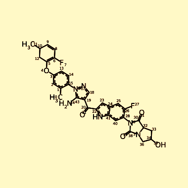 Cc1cc(OC2=C(F)C=CC(C)C2)ccc1-n1ncc(C(=O)c2cc3cc(F)c(N4C(=O)C5CC(O)CN5C4=O)cc3[nH]2)c1N